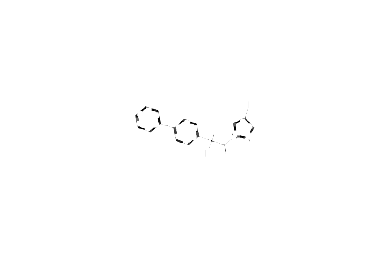 FC(n1cc(I)cn1)C(F)(F)c1ccc(-c2ccccc2)cc1